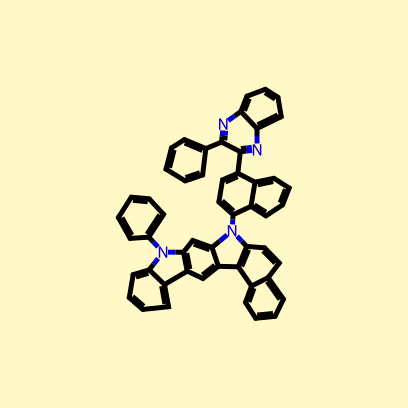 c1ccc(-c2nc3ccccc3nc2-c2ccc(-n3c4cc5c(cc4c4c6ccccc6ccc43)c3ccccc3n5-c3ccccc3)c3ccccc23)cc1